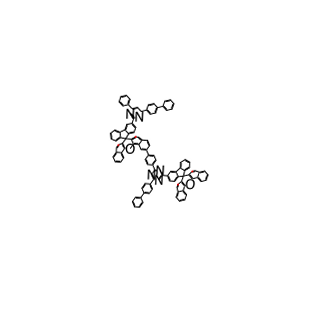 c1ccc(-c2ccc(-c3cc(-c4ccccc4)nc(-c4ccc5c(c4)-c4ccccc4C54c5ccc6ccccc6c5Oc5c4ccc4ccc(-c6ccc(-c7nc(-c8ccc(-c9ccccc9)cc8)nc(-c8ccc9c(c8)-c8ccccc8C98c9ccc%10ccccc%10c9Oc9c8ccc8ccccc98)n7)cc6)cc54)n3)cc2)cc1